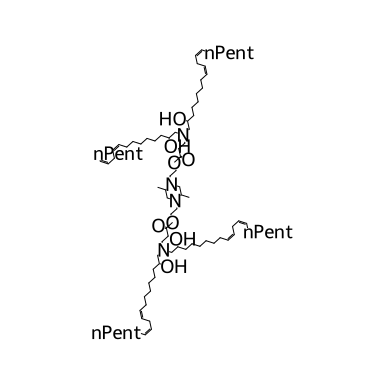 CCCCC/C=C\C/C=C\CCCCCCC(O)CN(CCC(=O)OCCN1CC(C)N(CCOC(=O)CCN(CC(O)CCCCCC/C=C\C/C=C\CCCCC)CC(O)CCCCCC/C=C\C/C=C\CCCCC)CC1C)CC(O)CCCCCC/C=C\C/C=C\CCCCC